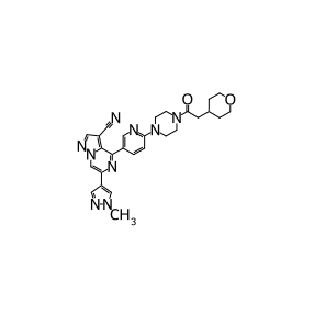 Cn1cc(-c2cn3ncc(C#N)c3c(-c3ccc(N4CCN(C(=O)CC5CCOCC5)CC4)nc3)n2)cn1